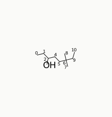 CCC(O)CCC(C)(C)CC